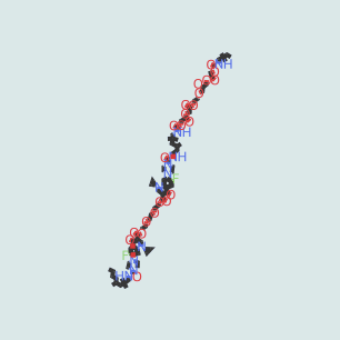 CCCCC(C)CC(C)(C)CNC(=O)N1CCN(c2cc3c(cc2F)c(=O)c(C(=O)OCCOCCOCCOC(=O)c2cn(C4CC4)c4cc(N5CCN(C(=O)NCCC(C)CC(C)(C)CNC(=O)OCC(=O)OCC(=O)OCCOCC(=O)COC(=O)COC(=O)NCC(C)(C)CC)CC5)c(F)cc4c2=O)cn3C2CC2)CC1